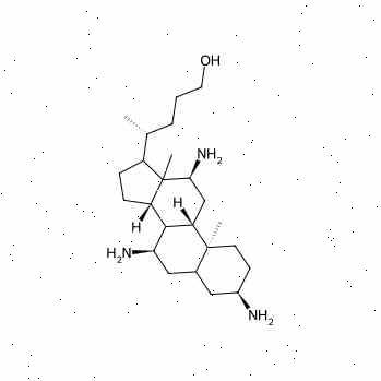 C[C@H](CCCO)C1CC[C@H]2C3[C@H](N)CC4C[C@H](N)CC[C@]4(C)[C@H]3C[C@H](N)C12C